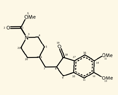 COC(=O)N1CCC(CC2Cc3cc(OC)c(OC)cc3C2=O)CC1